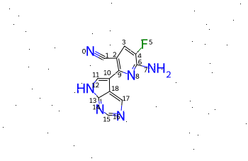 N#Cc1cc(F)c(N)nc1-c1c[nH]c2ncncc12